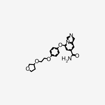 NC(=O)c1cc(Oc2ccc(OCCOC3CCOC3)cc2)n2cncc2c1